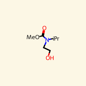 COC(=O)N(CCO)C(C)C